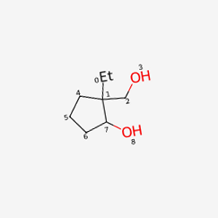 CCC1(CO)CCCC1O